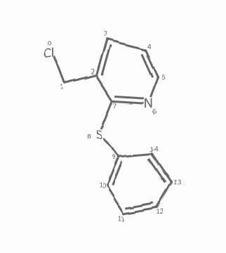 ClCc1cccnc1Sc1ccccc1